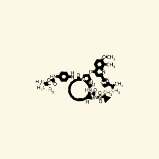 COc1ccc2c(O[C@@H]3C[C@H]4C(=O)N[C@]5(C(=O)NS(=O)(=O)C6(C)CC6)C[C@H]5/C=C\CCCCC[C@H](Nc5ccc(NC(=O)OC(C)(C)C)cc5)C(=O)N4C3)cc(-c3nc(C(C)C)cs3)nc2c1C